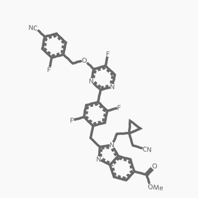 COC(=O)c1ccc2nc(Cc3cc(F)c(-c4ncc(F)c(OCc5ccc(C#N)cc5F)n4)cc3F)n(CC3(CC#N)CC3)c2c1